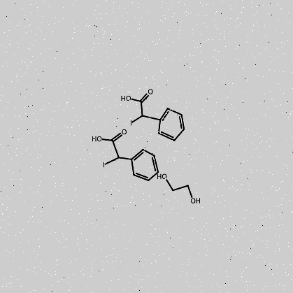 O=C(O)C(I)c1ccccc1.O=C(O)C(I)c1ccccc1.OCCO